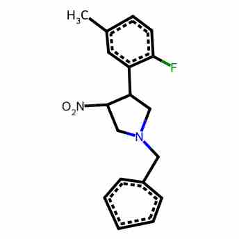 Cc1ccc(F)c(C2CN(Cc3ccccc3)CC2[N+](=O)[O-])c1